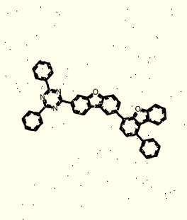 c1ccc(-c2nc(-c3ccccc3)nc(-c3ccc4c(c3)oc3ccc(-c5ccc(-c6ccccc6)c6c5oc5ccccc56)cc34)n2)cc1